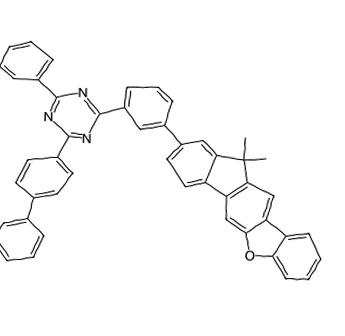 CC1(C)c2cc(-c3cccc(-c4nc(-c5ccccc5)nc(-c5ccc(-c6ccccc6)cc5)n4)c3)ccc2-c2cc3oc4ccccc4c3cc21